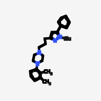 Cc1cccc(N2CCN(CCCc3cc(-c4ccccc4)n(C(C)(C)C)n3)CC2)c1C